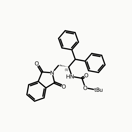 CC(C)(C)OC(=O)N[C@H](CN1C(=O)c2ccccc2C1=O)C(c1ccccc1)c1ccccc1